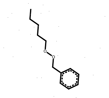 CCCCCOOCc1ccccc1